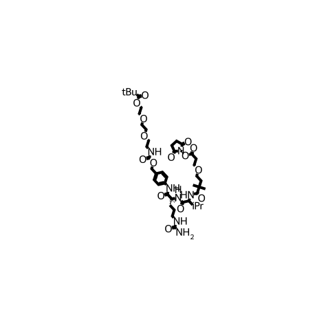 CC(C)C(NC(=O)C(C)(C)CCOCCC(=O)ON1C(=O)CCC1=O)C(=O)N[C@H](CCCNC(N)=O)C(=O)Nc1ccc(COC(=O)NCCOCCOCCOC(=O)C(C)(C)C)cc1